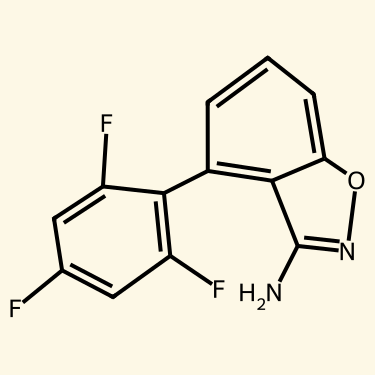 Nc1noc2cccc(-c3c(F)cc(F)cc3F)c12